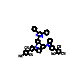 N#Cc1cc(C#N)c(-c2ccc3c(c2)c2ccccc2n3-c2cccc(-c3cc(-c4nc(-c5ccccc5)cc(-c5ccccc5)n4)ccc3-n3c4ccccc4c4cc(-c5c(C#N)cc(C#N)cc5C#N)ccc43)c2)c(C#N)c1